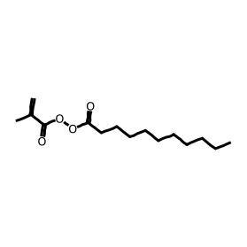 C=C(C)C(=O)OOC(=O)CCCCCCCCCC